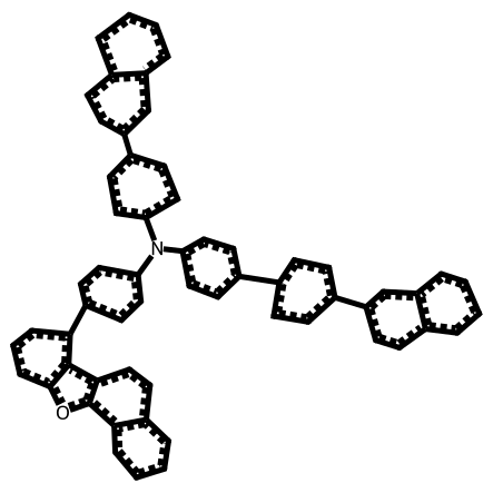 c1ccc2cc(-c3ccc(-c4ccc(N(c5ccc(-c6ccc7ccccc7c6)cc5)c5ccc(-c6cccc7oc8c9ccccc9ccc8c67)cc5)cc4)cc3)ccc2c1